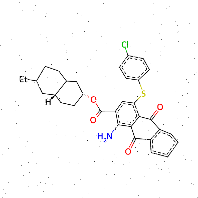 CCC1CCC2C[C@H](OC(=O)c3cc(Sc4ccc(Cl)cc4)c4c(c3N)C(=O)c3ccccc3C4=O)CC[C@@H]2C1